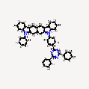 c1ccc(-c2nc(-c3ccccc3)nc(-c3ccc(-n4c5ccccc5c5cc6cc7c8ccccc8n(-c8ccccc8)c7cc6cc54)cc3)n2)cc1